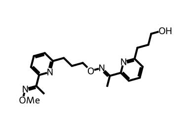 CO/N=C(\C)c1cccc(CCCO/N=C(\C)c2cccc(CCCO)n2)n1